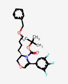 CC(C)(C)OC(=O)N1C(c2cc(F)c(F)c(F)c2)=COC[C@H]1CCCCOCc1ccccc1